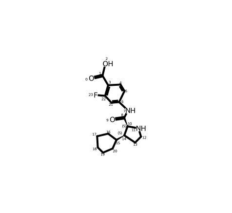 O=C(O)c1ccc(NC(=O)[C@H]2NCC[C@H]2C2CCCCC2)cc1F